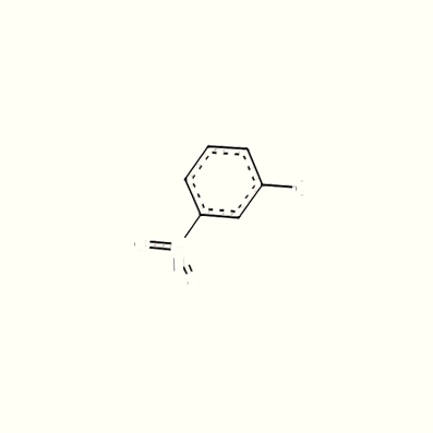 O=[SH](=O)c1cccc(Cl)c1